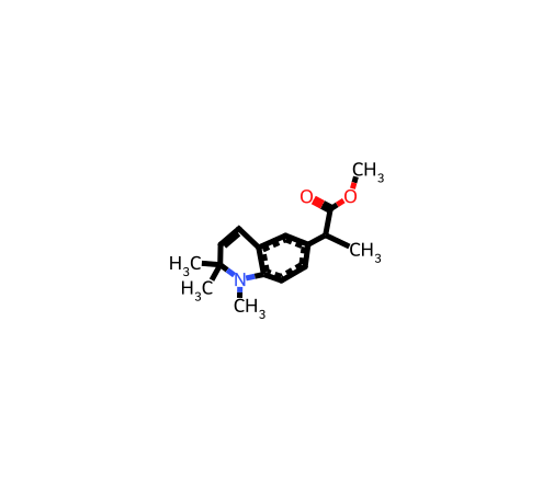 COC(=O)C(C)c1ccc2c(c1)C=CC(C)(C)N2C